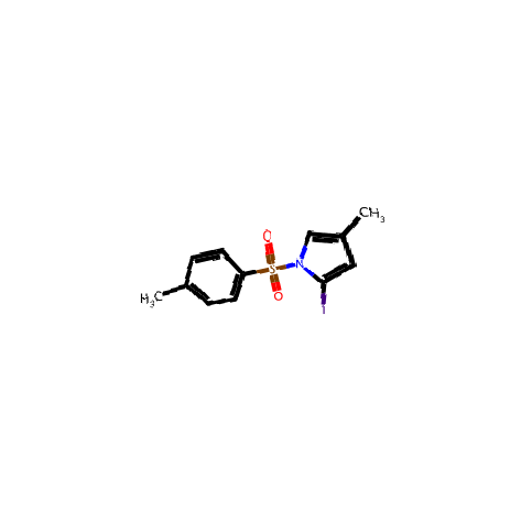 Cc1ccc(S(=O)(=O)n2cc(C)cc2I)cc1